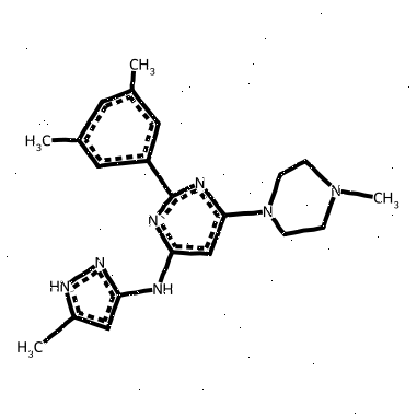 Cc1cc(C)cc(-c2nc(Nc3cc(C)[nH]n3)cc(N3CCN(C)CC3)n2)c1